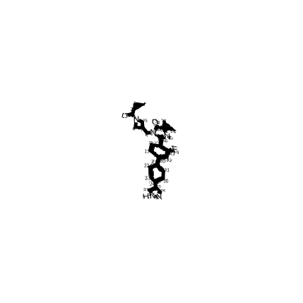 O=C(C1CC1)N1CC(CN2C(=O)C3(CC3)N=C2c2ccc(-c3ccc(-c4cn[nH]c4)cc3)cc2F)C1